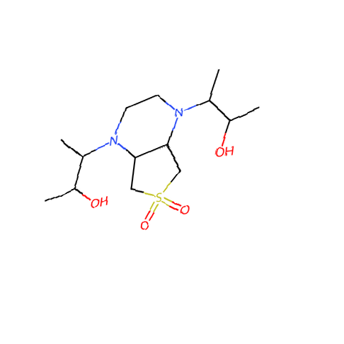 CC(O)C(C)N1CCN(C(C)C(C)O)C2CS(=O)(=O)CC21